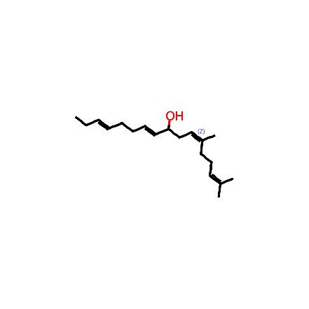 CCC=CCCC=CC(O)C/C=C(/C)CCC=C(C)C